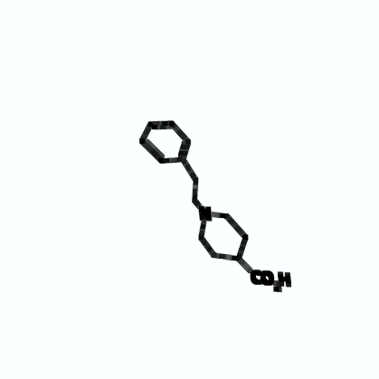 O=C(O)C1CCN(CCc2ccccc2)CC1